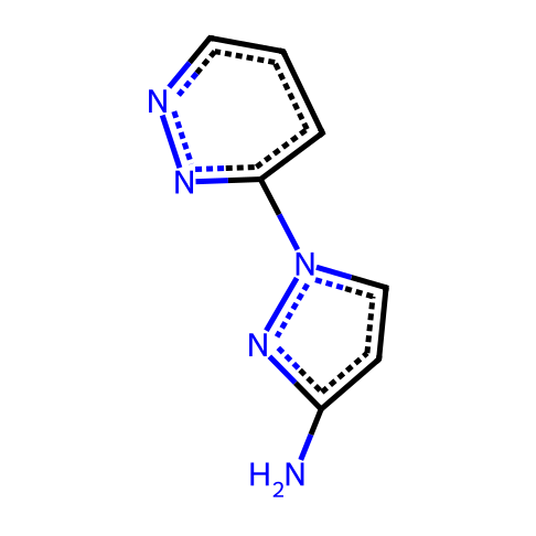 Nc1ccn(-c2cccnn2)n1